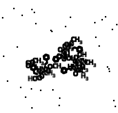 CCOC(=O)[C@H](CCc1ccccc1)N[C@@H](C)C(=O)N(CC(=O)O)C1Cc2ccccc2C1.CCOC(=O)[C@H](CCc1ccccc1)N[C@@H](C)C(=O)N1C(=O)N(C)C[C@H]1C(=O)O.CCOC(=O)[C@H](CCc1ccccc1)N[C@@H](C)C(=O)N1Cc2cc(OC)c(OC)cc2C[C@H]1C(=O)O